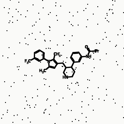 Cc1cc(CC2CNCCC2c2cccc(NC(=O)C(C)C)c2)c(C)n1-c1cccc(C(F)(F)F)c1